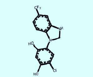 Oc1cc(O)c(N2[CH]Nc3cc(C(F)(F)F)ccc32)cc1Cl